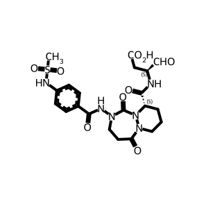 CS(=O)(=O)Nc1ccc(C(=O)NN2CCC(=O)N3CCC[C@@H](C(=O)N[C@H](C=O)CC(=O)O)N3C2=O)cc1